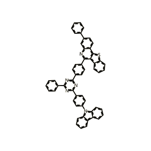 c1ccc(-c2ccc3c(c2)nc(-c2ccc(-c4nc(-c5ccccc5)nc(-c5ccc(-n6c7ccccc7c7ccccc76)cc5)n4)cc2)c2c4ccccc4sc32)cc1